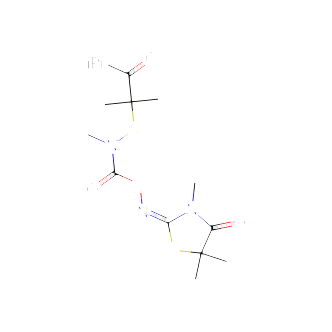 CC(C)C(=O)C(C)(C)SN(C)C(=O)ON=C1SC(C)(C)C(=O)N1C